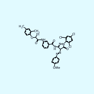 CCC(Oc1ccc(C)cc1C)C(=O)Nc1cccc(C(=O)NC2=NN(c3c(Cl)cc(Cl)cc3Cl)C(=O)C2N=Nc2ccc(OC)cc2)c1